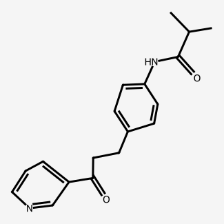 CC(C)C(=O)Nc1ccc(CCC(=O)c2cccnc2)cc1